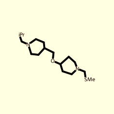 CSCN1CCC(OCC2CCN(CC(C)C)CC2)CC1